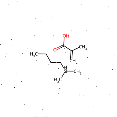 C=C(C)C(=O)O.CCCC[SiH](C)C